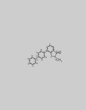 CC1Cc2c(cccc2-c2ccc(-c3ccccc3)cc2)C1=O